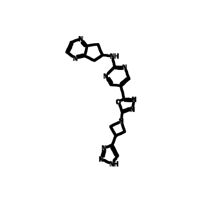 c1cnc2c(n1)CC(Nc1ncc(-c3nnc(N4CC(c5c[nH]nn5)C4)o3)cn1)C2